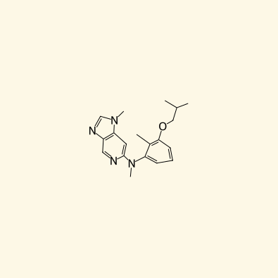 Cc1c(OCC(C)C)cccc1N(C)c1cc2c(cn1)ncn2C